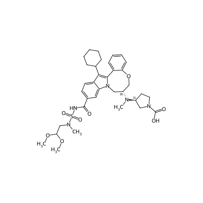 COC(CN(C)S(=O)(=O)NC(=O)c1ccc2c(C3CCCCC3)c3n(c2c1)C[C@@H](N(C)[C@H]1CCN(C(=O)O)C1)COc1ccccc1-3)OC